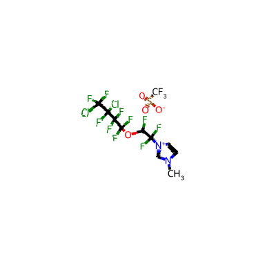 Cn1cc[n+](C(F)(F)C(F)OC(F)(F)C(F)(F)C(F)(Cl)C(F)(F)Cl)c1.O=S(=O)([O-])C(F)(F)F